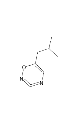 CC(C)CC1=CN=C=NO1